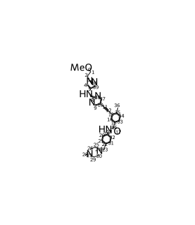 COCCn1cc(Nc2ncc(C#Cc3cc(C(=O)Nc4ccc(CN5CCN(C)CC5)cc4)ccc3C)cn2)cn1